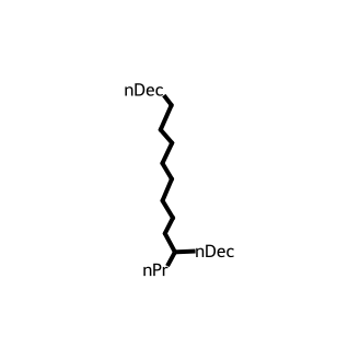 [CH2]CCC(CCCCCCCCCC)CCCCCCCCCCCCCCCCCC